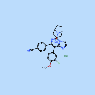 COc1ccc(-c2c(-c3ccc(C#N)cc3)nc(N3C4CCC3CC(N)C4)n3ccnc23)cc1F.Cl